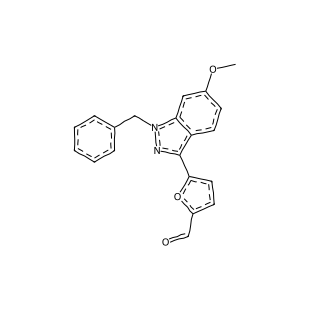 COc1ccc2c(-c3ccc(C=O)o3)nn(Cc3ccccc3)c2c1